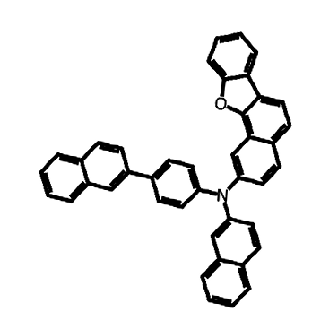 c1ccc2cc(-c3ccc(N(c4ccc5ccccc5c4)c4ccc5ccc6c7ccccc7oc6c5c4)cc3)ccc2c1